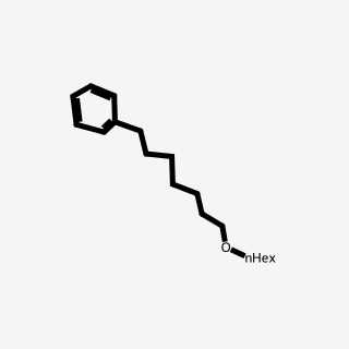 [CH2]CCCCCOCCCCCCCc1ccccc1